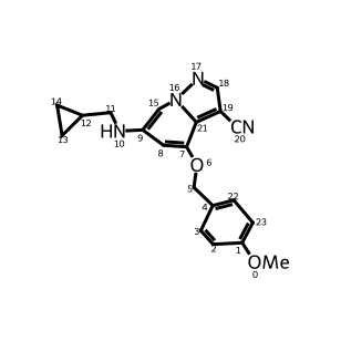 COc1ccc(COc2cc(NCC3CC3)cn3ncc(C#N)c23)cc1